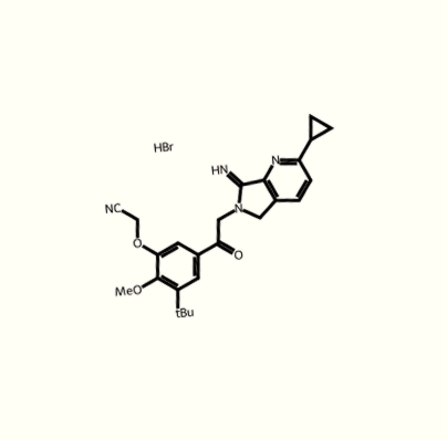 Br.COc1c(OCC#N)cc(C(=O)CN2Cc3ccc(C4CC4)nc3C2=N)cc1C(C)(C)C